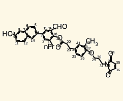 CCCc1cc(-c2ccc3cc(O)ccc3c2)cc(C=O)c1OC(=O)CCc1ccc(OCCCN2C(=O)C=CC2=O)c(C)c1